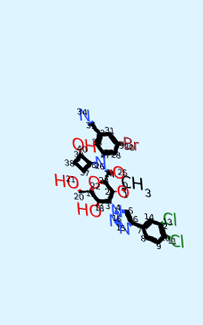 CO[C@@H]1[C@@H](n2cc(-c3ccc(Cl)c(Cl)c3)nn2)[C@@H](O)[C@@H](CO)O[C@H]1C(=O)N(c1cc(Br)cc(C#N)c1)[C@H]1CC[C@@H]1O